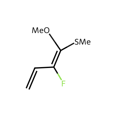 C=C/C(F)=C(\OC)SC